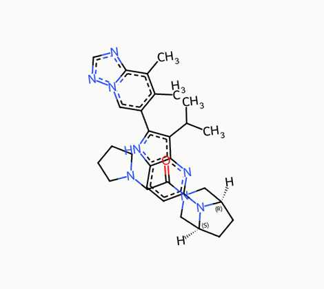 Cc1c(-c2[nH]c3ccc(N4[C@@H]5CC[C@H]4CN(C(=O)CN4CCCC4)C5)nc3c2C(C)C)cn2ncnc2c1C